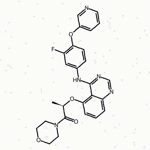 C[C@@H](Oc1cccc2ncnc(Nc3ccc(Oc4cccnc4)c(F)c3)c12)C(=O)N1CCOCC1